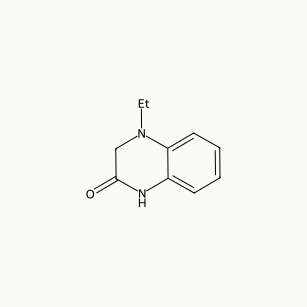 CCN1CC(=O)Nc2ccccc21